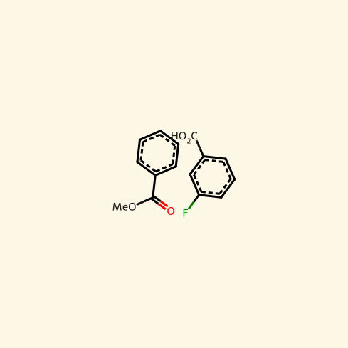 COC(=O)c1ccccc1.O=C(O)c1cccc(F)c1